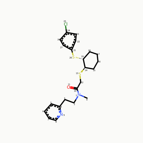 CN(CCc1ccccn1)C(=O)CS[C@@H]1CCCC[C@H]1Sc1ccc(Cl)cc1